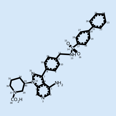 Nc1cncc2c1c(-c1ccc(CNS(=O)(=O)c3ccc(-c4ccccc4)cc3)cc1)nn2[C@@H]1CCCN(C(=O)O)C1